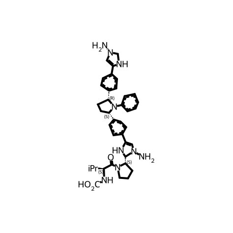 CC(C)[C@H](NC(=O)O)C(=O)N1CCC[C@H]1C1NC(c2ccc([C@@H]3CC[C@H](c4ccc(C5=CN(N)CN5)cc4)N3c3ccccc3)cc2)=CN1N